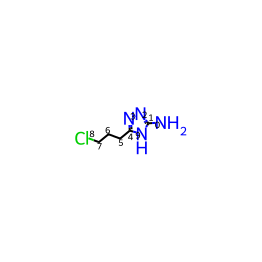 Nc1nnc(CCCCl)[nH]1